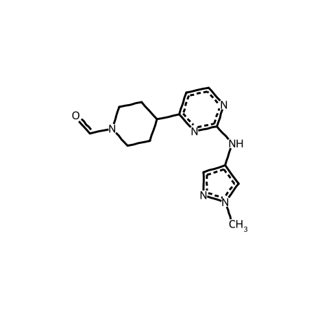 Cn1cc(Nc2nccc(C3CCN(C=O)CC3)n2)cn1